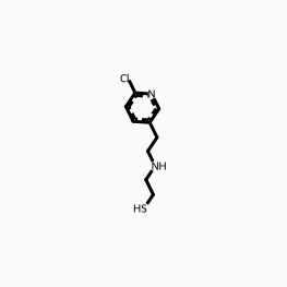 SCCNCCc1ccc(Cl)nc1